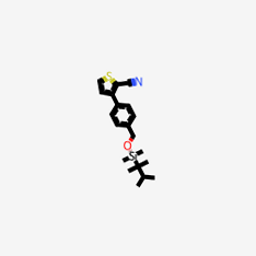 CC(C)C(C)(C)[Si](C)(C)OCc1ccc(-c2ccsc2C#N)cc1